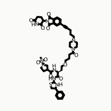 CS(=O)(=O)N1CCC(C(=O)N[C@@H](CCOCCCC(=O)N2CCN(CCCC#Cc3ccc4c(c3)C(=O)N(C3CCC(=O)NC3=O)C4=O)CC2)C(=O)NC2NC(c3ccccc3)CS2)C1